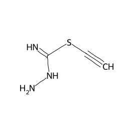 C#CSC(=N)NN